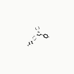 COC(=O)c1cnc(N2CCN(c3cc(-c4ccc(F)cc4)nc(N4CCOC[C@H]4C)n3)[C@H](C)C2)c(Cl)n1